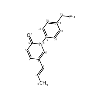 C/C=C/c1ccc(=O)n(-c2ccc(CF)cc2)c1